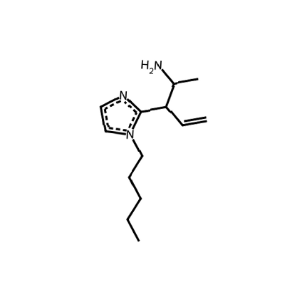 C=CC(c1nccn1CCCCC)C(C)N